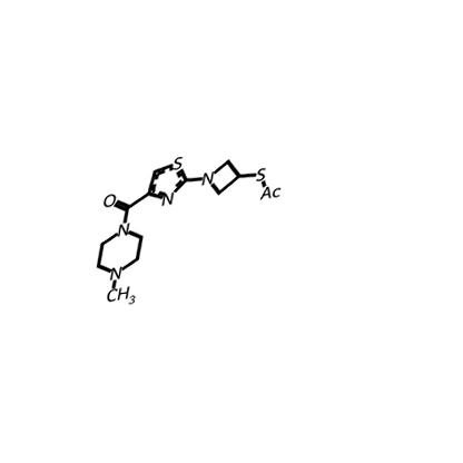 CC(=O)SC1CN(c2nc(C(=O)N3CCN(C)CC3)cs2)C1